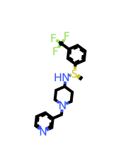 C=S(NC1CCN(Cc2cccnc2)CC1)c1cccc(C(F)(F)F)c1